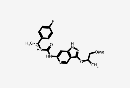 COCC(C)Oc1n[nH]c2cc(NC(=O)N[C@H](C)c3ccc(F)cc3)ncc12